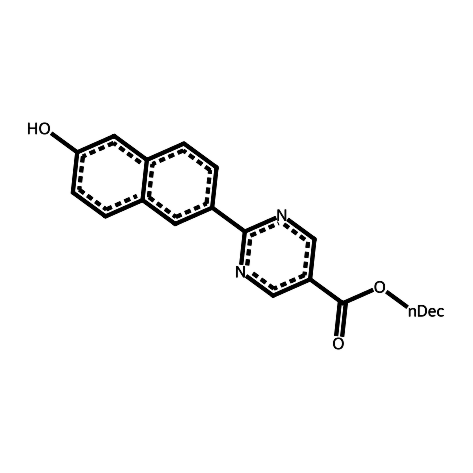 CCCCCCCCCCOC(=O)c1cnc(-c2ccc3cc(O)ccc3c2)nc1